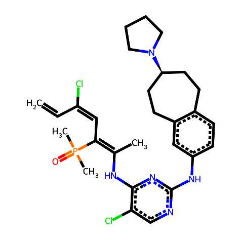 C=C/C(Cl)=C\C(=C(/C)Nc1nc(Nc2ccc3c(c2)CC[C@@H](N2CCCC2)CC3)ncc1Cl)P(C)(C)=O